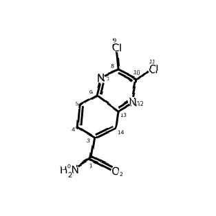 NC(=O)c1ccc2nc(Cl)c(Cl)nc2c1